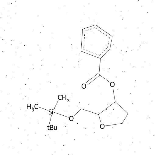 CC(C)(C)[Si](C)(C)OCC1OCCC1OC(=O)c1ccccc1